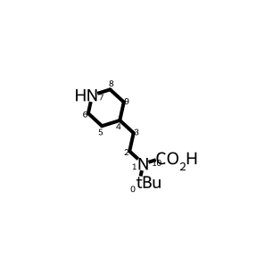 CC(C)(C)N(CCC1CCNCC1)C(=O)O